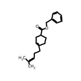 CC(C)=CCCC1=CCC(C(=O)OCc2ccccc2)CC1